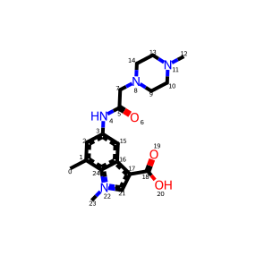 Cc1cc(NC(=O)CN2CCN(C)CC2)cc2c(C(=O)O)cn(C)c12